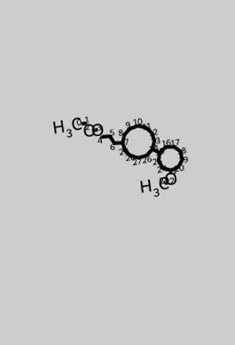 CCOOCCCC1CCCCCCC(C2CCCCCC(OC)CC2)CCCC1